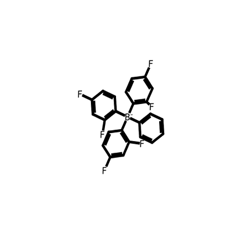 Fc1ccc([B-](c2ccccc2)(c2ccc(F)cc2F)c2ccc(F)cc2F)c(F)c1